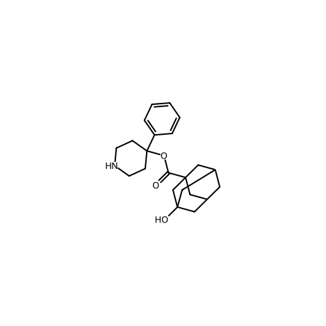 O=C(OC1(c2ccccc2)CCNCC1)C12CC3CC(CC(O)(C3)C1)C2